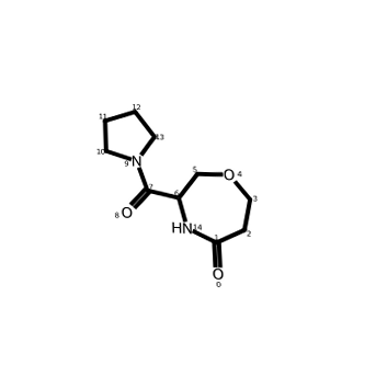 O=C1CCOCC(C(=O)N2CCCC2)N1